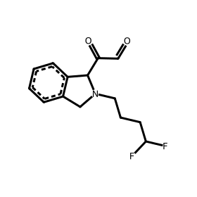 O=CC(=O)C1c2ccccc2CN1CCCC(F)F